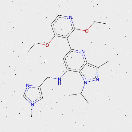 CCOc1ccnc(OCC)c1-c1cc(NCc2cn(C)cn2)c2c(n1)c(C)nn2C(C)C